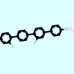 Bc1ccc(-c2ccc(-c3ccc(-c4ccccc4F)cc3)c(F)c2)cc1